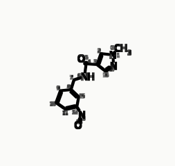 Cn1cc(C(=O)NCc2cccc(N=O)c2)cn1